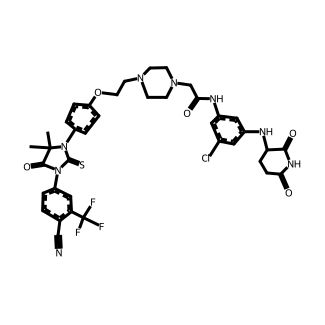 CC1(C)C(=O)N(c2ccc(C#N)c(C(F)(F)F)c2)C(=S)N1c1ccc(OCCN2CCN(CC(=O)Nc3cc(Cl)cc(NC4CCC(=O)NC4=O)c3)CC2)cc1